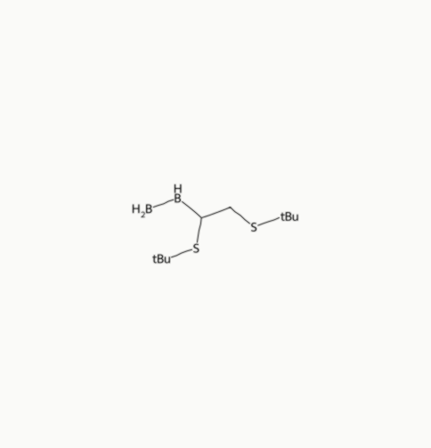 BBC(CSC(C)(C)C)SC(C)(C)C